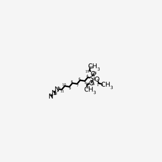 CCO[Si](CCCCCCCCN=[N+]=[N-])(OCC)OCC